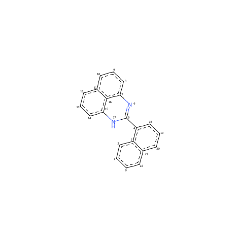 c1ccc2c(C3=Nc4cccc5cccc(c45)N3)cccc2c1